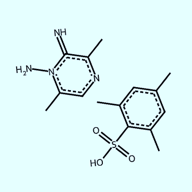 Cc1cc(C)c(S(=O)(=O)O)c(C)c1.Cc1ncc(C)n(N)c1=N